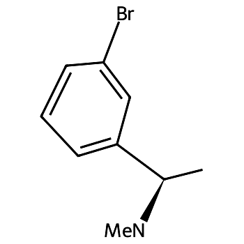 CN[C@H](C)c1cccc(Br)c1